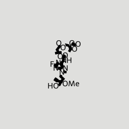 C#CC(CO)(CCn1cnc2c(NC(=O)OC(C)(C)CC(=O)OCc3oc(=O)oc3C)nc(F)nc21)OC